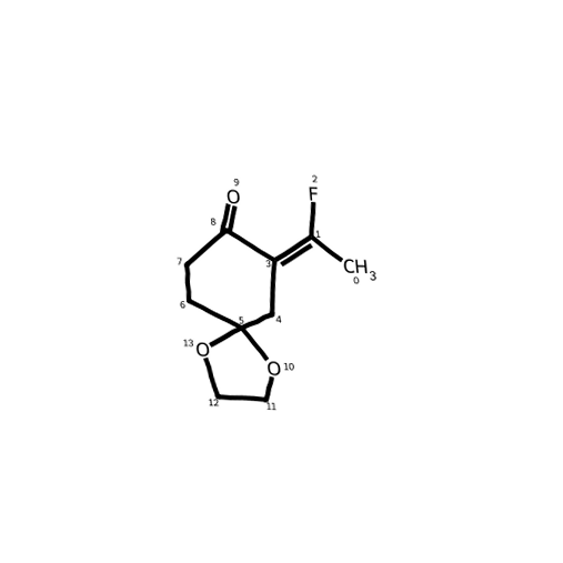 C/C(F)=C1\CC2(CCC1=O)OCCO2